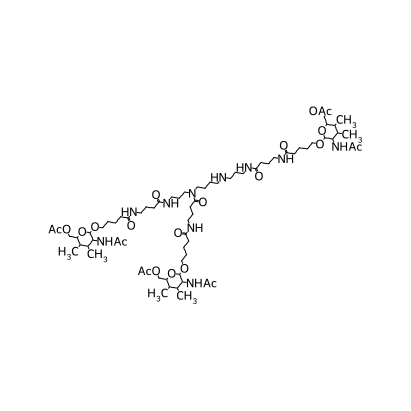 CC(=O)NC1C(OCCCCC(=O)NCCCC(=O)NCCCNCCCCN(CCCNC(=O)CCCNC(=O)CCCCOC2OC(COC(C)=O)C(C)C(C)C2NC(C)=O)C(=O)CCCNC(=O)CCCCOC2OC(COC(C)=O)C(C)C(C)C2NC(C)=O)OC(COC(C)=O)C(C)C1C